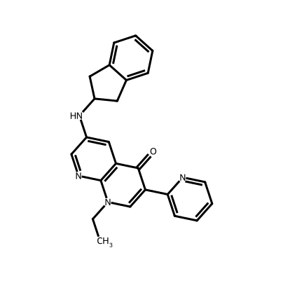 CCn1cc(-c2ccccn2)c(=O)c2cc(NC3Cc4ccccc4C3)cnc21